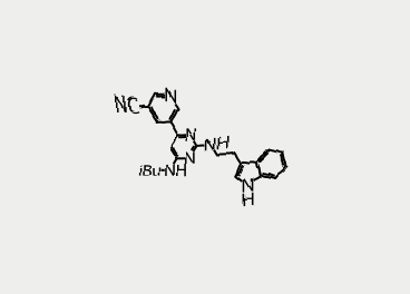 CCC(C)Nc1cc(-c2cncc(C#N)c2)nc(NCCc2c[nH]c3ccccc23)n1